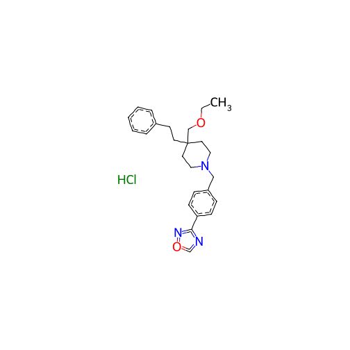 CCOCC1(CCc2ccccc2)CCN(Cc2ccc(-c3ncon3)cc2)CC1.Cl